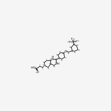 O=C(O)CCN1CCC2NC(C3CCC(OCC4CCCC(C(F)(F)F)C4)CC3)NCC2C1